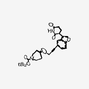 CC(C)(C)OC(=O)N1CCC(OCC#Cc2ccc3occ(C4CCC(=O)NC4=O)c3c2)CC1